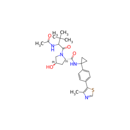 CC(=O)NC(C(=O)N1C[C@H](O)C[C@H]1C(=O)NC1(c2ccc(-c3scnc3C)cc2)CC1)C(C)(C)C